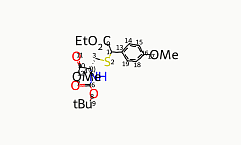 CCOC(=O)C(SC[C@H](NC(=O)OC(C)(C)C)C(=O)OC)c1ccc(OC)cc1